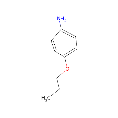 [CH2]CCOc1ccc(N)cc1